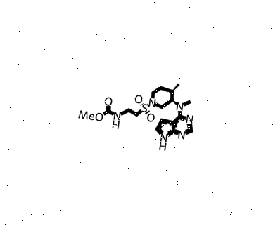 COC(=O)NCCS(=O)(=O)N1CC[C@@H](C)[C@@H](N(C)c2ncnc3[nH]ccc23)C1